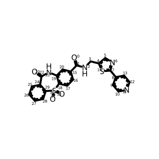 O=C(NCc1cnc(-c2ccncc2)s1)c1ccc2c(c1)NC(=O)c1ccccc1S2(=O)=O